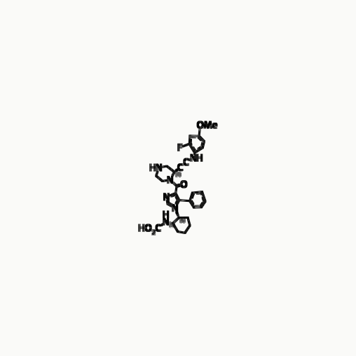 COc1ccc(NCC[C@@H]2CNCCN2C(=O)c2ncn([C@H]3CCCC[C@@H]3NC(=O)O)c2-c2ccccc2)c(F)c1